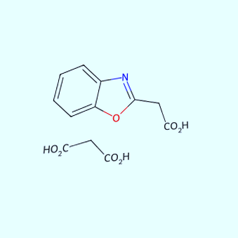 O=C(O)CC(=O)O.O=C(O)Cc1nc2ccccc2o1